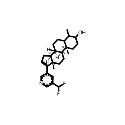 CC1C(O)CC[C@@]2(C)C1CC[C@@H]1[C@@H]2CC[C@]2(C)C(c3cncc(C(F)F)c3)=CC[C@@H]12